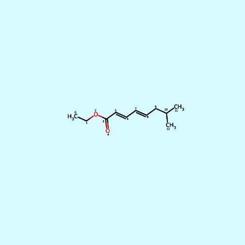 CCOC(=O)/C=C/C=C/CC(C)C